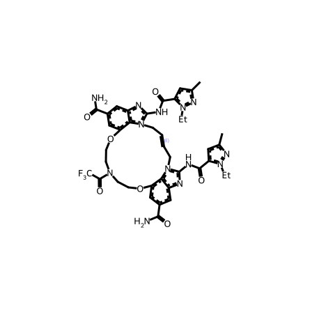 CCn1nc(C)cc1C(=O)Nc1nc2cc(C(N)=O)cc3c2n1C/C=C/Cn1c(NC(=O)c2cc(C)nn2CC)nc2cc(C(N)=O)cc(c21)OCCN(C(=O)C(F)(F)F)CCO3